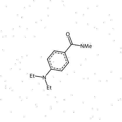 CCN(CC)c1ccc(C(=O)NC)cc1